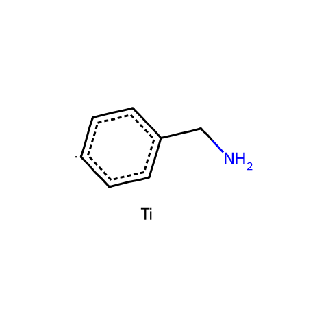 NCc1cc[c]cc1.[Ti]